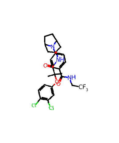 CC(C)(Oc1ccc(Cl)c(Cl)c1)C(=O)NC1CC2CCC(C1)N2c1ccc(C(=O)NCC(F)(F)F)cc1